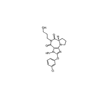 CCCn1c(Oc2cccc(Cl)c2)nc2c1C(=O)N(CCCO)C(=O)[C@@H]1CCCN21